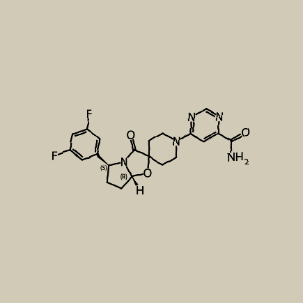 NC(=O)c1cc(N2CCC3(CC2)O[C@@H]2CC[C@@H](c4cc(F)cc(F)c4)N2C3=O)ncn1